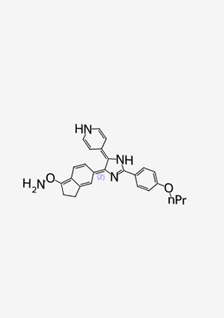 CCCOc1ccc(-c2n/c(=c3/ccc4c(c3)CCC=4ON)c(=C3C=CNC=C3)[nH]2)cc1